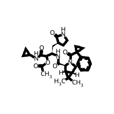 CC(=O)OC(C(=O)NC1CC1)[C@H](C[C@@H]1CCNC1=O)NC(=O)[C@@H]1[C@@H]2[C@H](CN1C(=O)C1(c3ccccc3)CC1)C2(C)C